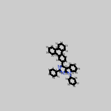 c1ccc(-c2nc(-c3ccc4c5ccccc5c5ccccc5c4c3)c3c4ccccc4n(-c4ccccc4)c3n2)cc1